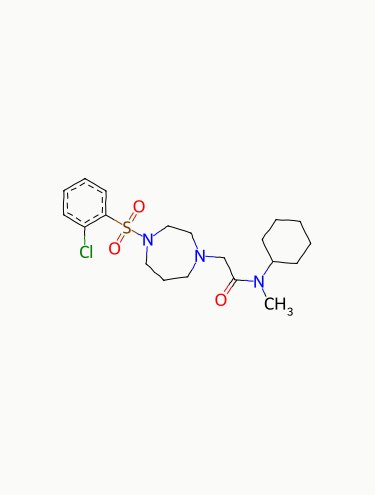 CN(C(=O)CN1CCCN(S(=O)(=O)c2ccccc2Cl)CC1)C1CCCCC1